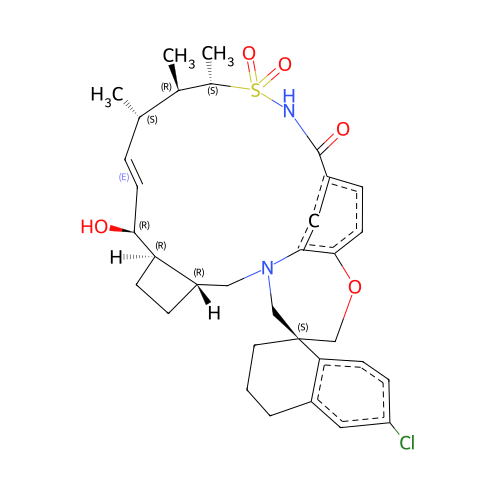 C[C@@H]1[C@@H](C)/C=C/[C@H](O)[C@@H]2CC[C@H]2CN2C[C@@]3(CCCc4cc(Cl)ccc43)COc3ccc(cc32)C(=O)NS(=O)(=O)[C@H]1C